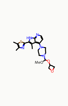 COC(OC1COC1)N1CCN(c2ccnc3[nH]c(-c4nc(C)c(C)s4)c(C)c23)CC1